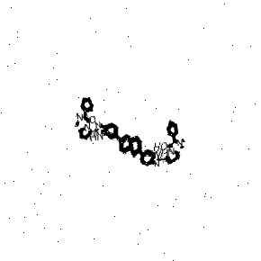 CN(C)[C@H](c1ccccc1)C(O)N1CCC[C@H]1c1nc2ccc(-c3ccc4cc(-c5ccc6nc([C@@H]7CCCN7C(=O)[C@@H](c7ccccc7)N(C)C)[nH]c6c5)ccc4c3)cc2[nH]1